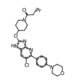 CC(C)CC(=O)N1CCC(Oc2nc3nc(-c4ccc(N5CCOCC5)cc4)c(Cl)cc3[nH]2)CC1